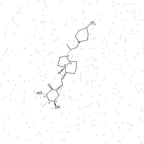 C=C1/C(=C\C=C2/CCC[C@]3(C)[C@@H](C(C)CN4CCC(C(F)(F)F)CC4)CC[C@@H]23)C[C@@H](O)[C@H](C)[C@@H]1O